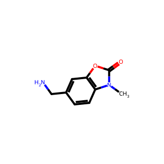 Cn1c(=O)oc2cc(CN)ccc21